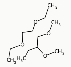 CCC(COC)OC.CCOCCOCC